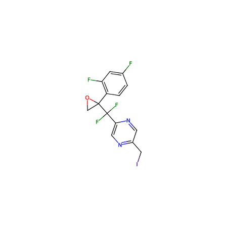 Fc1ccc(C2(C(F)(F)c3cnc(CI)cn3)CO2)c(F)c1